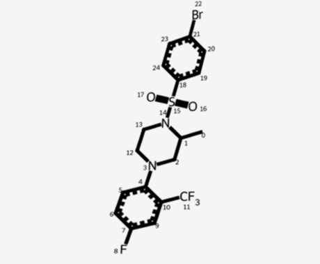 CC1CN(c2ccc(F)cc2C(F)(F)F)CCN1S(=O)(=O)c1ccc(Br)cc1